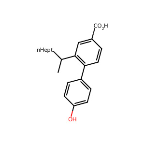 CCCCCCCC(C)c1cc(C(=O)O)ccc1-c1ccc(O)cc1